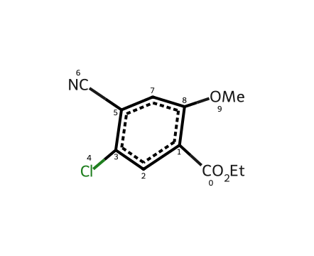 CCOC(=O)c1cc(Cl)c(C#N)cc1OC